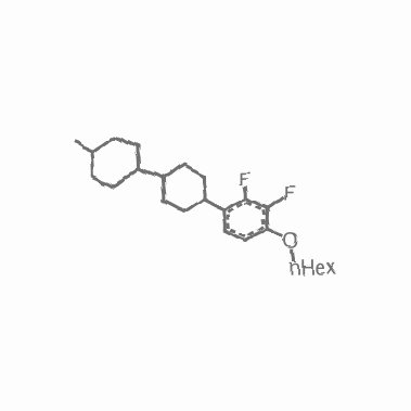 CCCCCCOc1ccc(C2CCC(C3CCC(C)CC3)CC2)c(F)c1F